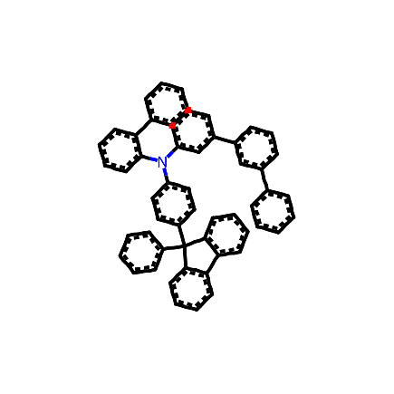 c1ccc(-c2cccc(-c3cccc(N(c4ccc(C5(c6ccccc6)c6ccccc6-c6ccccc65)cc4)c4ccccc4-c4ccccc4)c3)c2)cc1